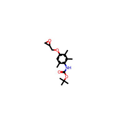 Cc1cc(OCC2CO2)c(C)c(C)c1NC(=O)OC(C)(C)C